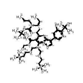 C=C(OCC)c1c(CC[C@@H](CC)N(CCC)C(=O)OC(C)(C)C)nc2c(-c3cnc(C(C)(C)O)c(F)c3)cnn2c1N(COCC[Si](C)(C)C)COCC[Si](C)(C)C